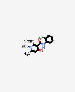 CCCCCc1c(C(=O)Nc2ccccc2Cl)c(=O)cc(C)n1CCCC